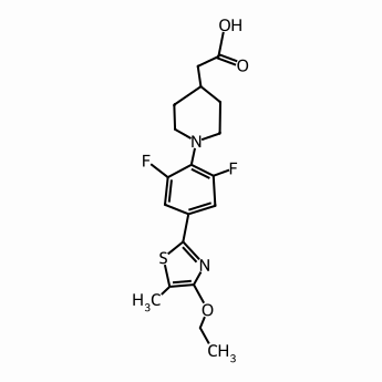 CCOc1nc(-c2cc(F)c(N3CCC(CC(=O)O)CC3)c(F)c2)sc1C